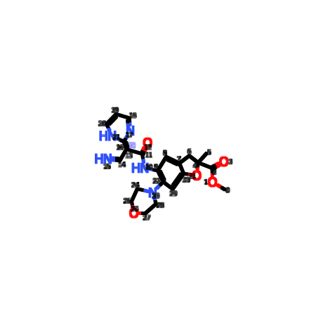 COC(=O)C1(C)Cc2cc(NC(=O)/C(C=N)=C3\N=CC=CN3)c(N3CCOCC3)cc2O1